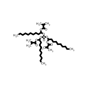 C=C(C)C(=O)OC(CCCCCCCCC)OP(=O)(OC(CCCCCCCCC)OC(=O)C(=C)C)OC(CCCCCCCCC)OC(=O)C(=C)C